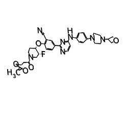 CS(=O)(=O)CC(=O)N1CC[C@H](Oc2ccc(-c3nccc(Nc4ccc(N5CCN(C6COC6)CC5)cc4)n3)cc2C#N)[C@H](F)C1